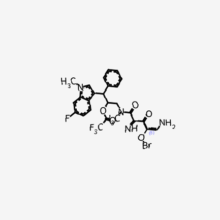 CN(CC(OC(=O)C(F)(F)F)C(c1ccccc1)c1cn(C)c2cc(F)ccc12)C(=O)C(=N)C(=O)/C(=C\N)OBr